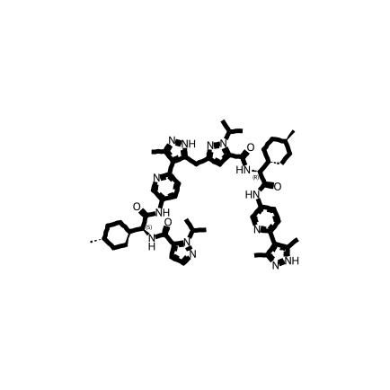 Cc1n[nH]c(C)c1-c1ccc(NC(=O)[C@H](NC(=O)c2cc(Cc3[nH]nc(C)c3-c3ccc(NC(=O)[C@@H](NC(=O)c4ccnn4C(C)C)[C@H]4CC[C@H](C)CC4)cn3)nn2C(C)C)[C@H]2CC[C@H](C)CC2)cn1